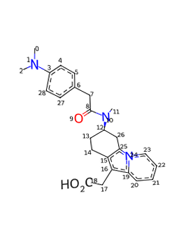 CN(C)c1ccc(CC(=O)N(C)[C@@H]2CCc3c(CC(=O)O)c4ccccn4c3C2)cc1